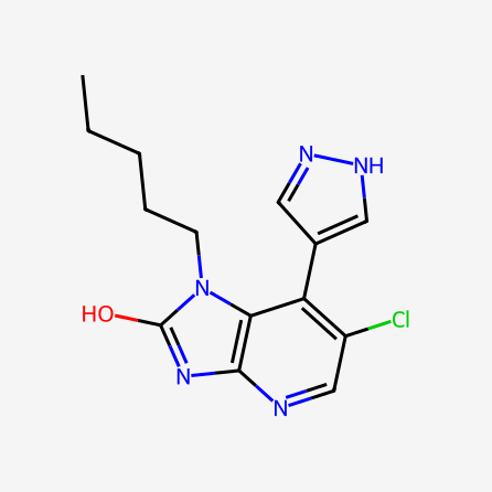 CCCCCn1c(O)nc2ncc(Cl)c(-c3cn[nH]c3)c21